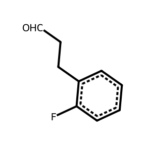 O=CCCc1ccccc1F